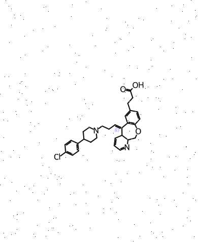 O=C(O)CCc1ccc2c(c1)/C(=C/CCN1CCC(c3ccc(Cl)cc3)CC1)C1C=CC=NC1CO2